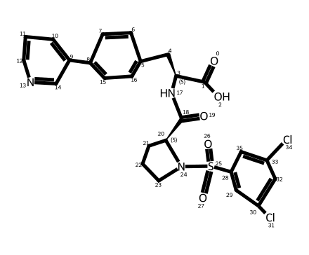 O=C(O)[C@H](Cc1ccc(-c2cccnc2)cc1)NC(=O)[C@@H]1CCCN1S(=O)(=O)c1cc(Cl)cc(Cl)c1